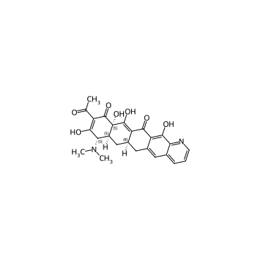 CC(=O)C1=C(O)[C@@H](N(C)C)[C@@H]2C[C@@H]3Cc4cc5cccnc5c(O)c4C(=O)C3=C(O)[C@]2(O)C1=O